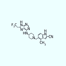 Cc1c(CN2CCC(Nc3ncnc4[nH]c(CC(F)(F)F)nc34)CC2)ccc2[nH]c(C#N)cc12